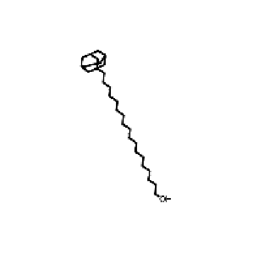 OCCCCCCCCCCCCCCCCCCC12CC3CC(CC(C3)C1)C2